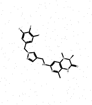 Cc1nc(NCc2cnn(Cc3cc(F)c(F)c(F)c3)c2)cc2c1NC(=O)[C@H](C)N2C